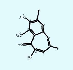 CC(=O)Oc1c(C)cc2cc(C)cc(O)c(=O)c2c1OC(C)=O